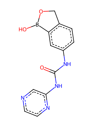 O=C(Nc1ccc2c(c1)B(O)OC2)Nc1cnccn1